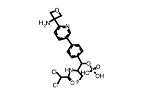 NC1(c2ccc(-c3ccc(C(OP(=O)(O)O)C(CF)NC(=O)C(Cl)Cl)cc3)cn2)COC1